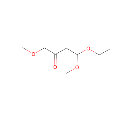 CCOC(CC(=O)COC)OCC